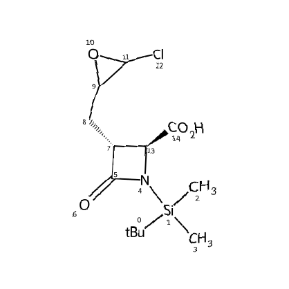 CC(C)(C)[Si](C)(C)N1C(=O)[C@H](CC2OC2Cl)[C@H]1C(=O)O